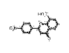 O=C(O)c1cccc2c(=O)cc(-c3ccc([N+](=O)[O-])cc3)oc12